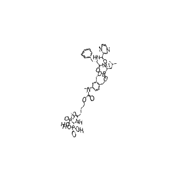 COP(=O)(O)C(NC(=O)CCCOC(=O)N(C)c1ccc2c(c1)COB([C@H](CC(C)C)NC(=O)[C@H](Cc1ccccc1)NC(=O)c1cnccn1)OC2)P(=O)(O)O